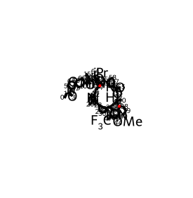 C=CC(=O)N1CCOC2(CCN(C(=O)N(C)[C@H](C(=O)N[C@H]3Cc4nc(n(C)n4)-c4ccc5c(c4)c(c(-c4cccnc4[C@H](C)OC)n5CC(F)(F)F)CC(C)(C)COC(=O)C4CCCN(N4)C3=O)C(C)C)CC2)C1